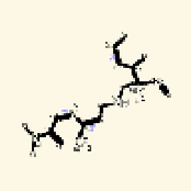 C=N[C@@](C)(CNC/C=C(\N=C/C(=C)N(C)C)C(F)(F)F)C(C)/C=C\C